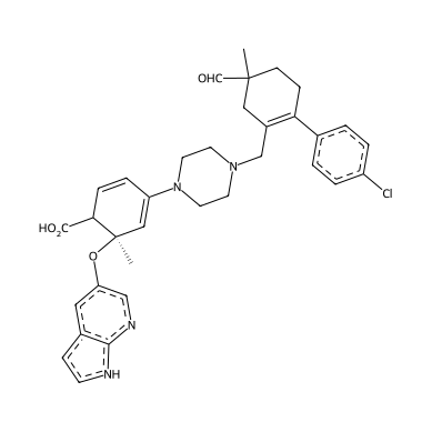 CC1(C=O)CCC(c2ccc(Cl)cc2)=C(CN2CCN(C3=C[C@@](C)(Oc4cnc5[nH]ccc5c4)C(C(=O)O)C=C3)CC2)C1